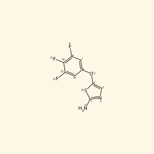 Nc1ncc(Oc2cc(F)c(F)c(F)c2)s1